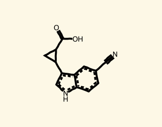 N#Cc1ccc2[nH]cc(C3CC3C(=O)O)c2c1